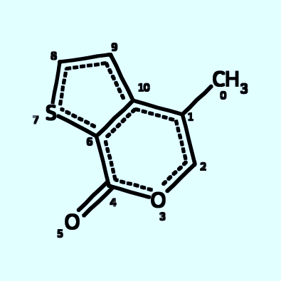 Cc1coc(=O)c2sccc12